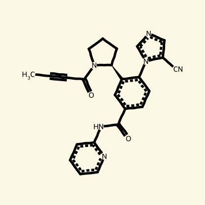 CC#CC(=O)N1CCC[C@H]1c1cc(C(=O)Nc2ccccn2)ccc1-n1cncc1C#N